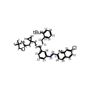 CC1(C)COC(CC2(CS[C@H](CCc3ccccc3C(C)(C)C)c3cccc(/C=C/c4ccc5ccc(Cl)cc5n4)c3)CC2)=N1